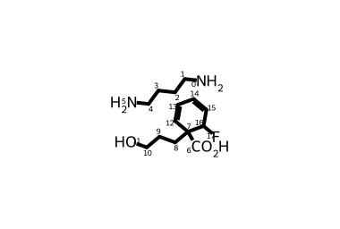 NCCCCN.O=C(O)C1(CCCO)C=CC=CC1F